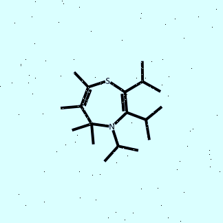 CC1=C(C)C(C)(C)N(C(C)C)C(C(C)C)=C(C(C)C)S1